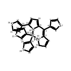 C1=CC2=C(c3ccsc3)c3ccc(-c4ccsc4)n3[B-](c3ccsc3)(c3ccsc3)[NH+]2C1